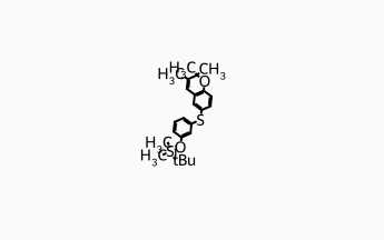 CC1=Cc2cc(Sc3cccc(O[Si](C)(C)C(C)(C)C)c3)ccc2OC1(C)C